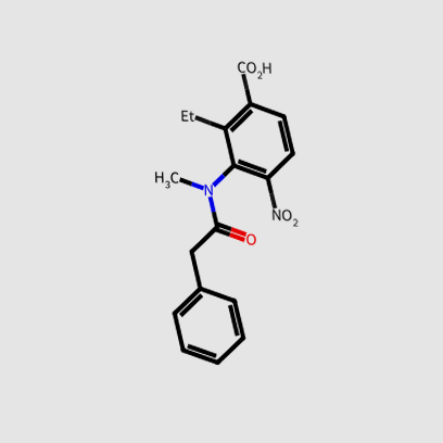 CCc1c(C(=O)O)ccc([N+](=O)[O-])c1N(C)C(=O)Cc1ccccc1